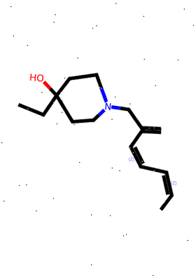 C=C(/C=C\C=C/C)CN1CCC(O)(CC)CC1